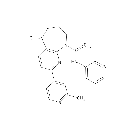 C=C(Nc1cccnc1)N1CCCN(C)c2ccc(-c3ccnc(C)c3)nc21